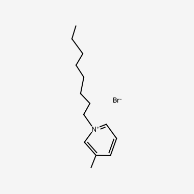 CCCCCCCC[n+]1cccc(C)c1.[Br-]